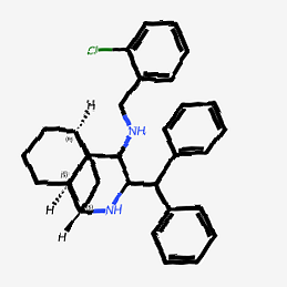 Clc1ccccc1CNC1C(C(c2ccccc2)c2ccccc2)N[C@H]2C[C@H]3CCC[C@H]2C13